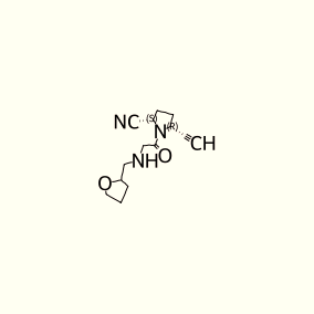 C#C[C@H]1CC[C@@H](C#N)N1C(=O)CNCC1CCCO1